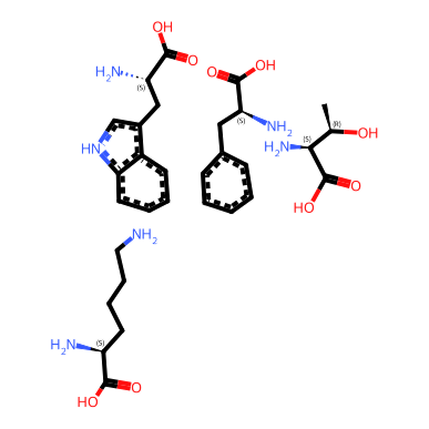 C[C@@H](O)[C@H](N)C(=O)O.NCCCC[C@H](N)C(=O)O.N[C@@H](Cc1c[nH]c2ccccc12)C(=O)O.N[C@@H](Cc1ccccc1)C(=O)O